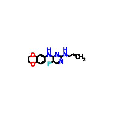 C=CCNc1ncc(F)c(Nc2ccc3c(c2)OCCO3)n1